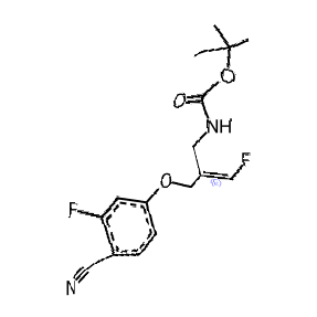 CC(C)(C)OC(=O)NC/C(=C\F)COc1ccc(C#N)c(F)c1